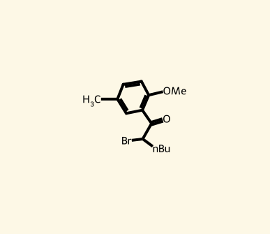 CCCCC(Br)C(=O)c1cc(C)ccc1OC